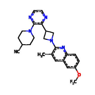 Cc1cc2cc(OC(F)(F)F)ccc2nc1N1CC(c2nccnc2N2CCC(C#N)CC2)C1